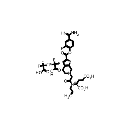 C=CCN(C(=O)CN1CCc2cc(C(=O)Oc3ccc(C(=N)N)cc3F)sc2C1)[C@@H](CCC(=O)O)C(=O)O.O=C(O)C(F)(F)F.O=C(O)C(F)(F)F